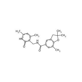 Cc1cc(C)c(CNC(=O)c2cc(C)c3c(c2)CC(C)(C)O3)c(=O)[nH]1